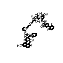 C#Cc1c(F)ccc2cc(O)cc(-c3ncc4c(N5CC6CCC(C5)N6)nc(OC[C@@H]5CCCN5CCCOCCC(=O)N[C@H](C(=O)N5C[C@H](O)C[C@H]5C(=O)N[C@@H](CO)c5ccc(-c6c(F)cccc6F)cc5)C(C)(C)C)nc4c3F)c12